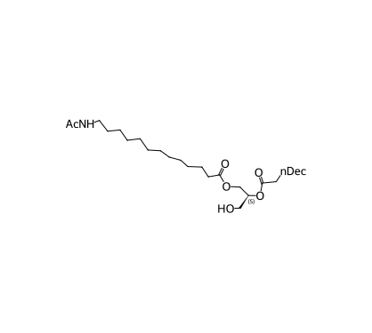 CCCCCCCCCCCC(=O)O[C@@H](CO)COC(=O)CCCCCCCCCCCCNC(C)=O